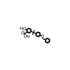 CC(C)(c1ccc(OCc2ccccc2)cc1)c1ccc(O)c(C(=O)O)c1